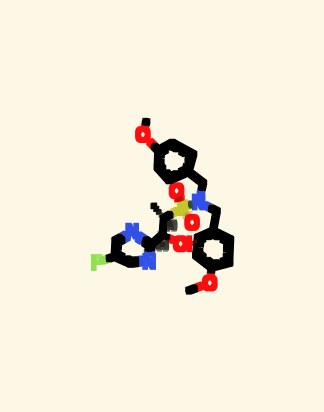 COc1ccc(CN(Cc2ccc(OC)cc2)S(=O)(=O)[C@@H](C)[C@@H](O)c2ncc(F)cn2)cc1